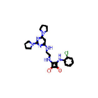 O=c1c(NCCNc2cc(N3CCCC3)nc(N3CCCC3)n2)c(Nc2ccccc2Cl)c1=O